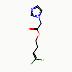 O=C(Cn1ccnc1)OCCC=C(F)F